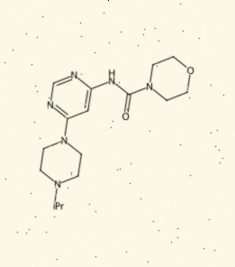 CC(C)N1CCN(c2cc(NC(=O)N3CCOCC3)ncn2)CC1